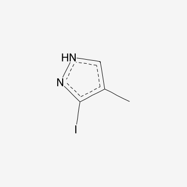 Cc1c[nH]nc1I